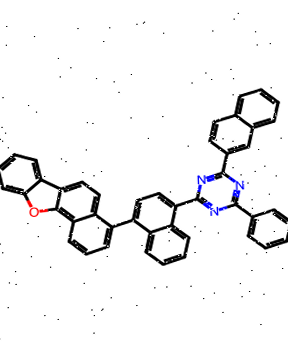 c1ccc(-c2nc(-c3ccc4ccccc4c3)nc(-c3ccc(-c4cccc5c4ccc4c6ccccc6oc54)c4ccccc34)n2)cc1